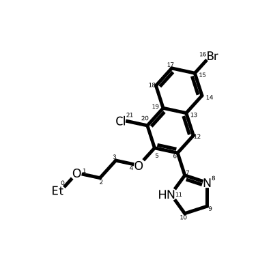 CCOCCOc1c(C2=NCCN2)cc2cc(Br)ccc2c1Cl